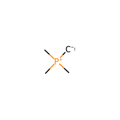 [C-][P+](C)(C)C